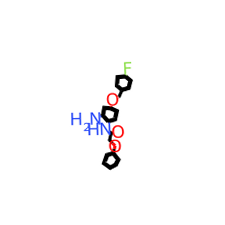 Nc1cc(OCc2ccc(F)cc2)ccc1NC(=O)COc1ccccc1